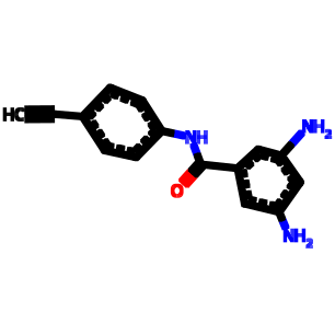 C#Cc1ccc(NC(=O)c2cc(N)cc(N)c2)cc1